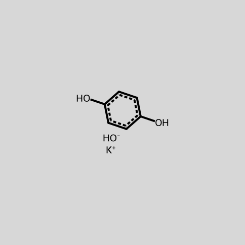 Oc1ccc(O)cc1.[K+].[OH-]